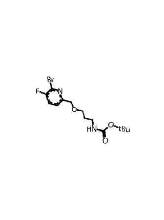 CC(C)(C)OC(=O)NCCCOCc1ccc(F)c(Br)n1